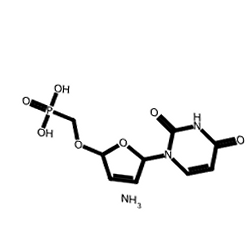 N.O=c1ccn(C2C=CC(OCP(=O)(O)O)O2)c(=O)[nH]1